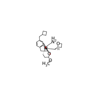 CO[C@H]1CC[C@]2(CC1)Cc1ccc(CC3CCC3)cc1[C@]21N=C(N)N(C[C@@H]2CCO2)C1=O